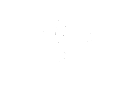 CC(C)=CCn1c(N2CCCC(NC(=O)OC(C)(C)C)C2)nc2c1c(=O)n(C)c(=O)n2CCCCc1ccccc1